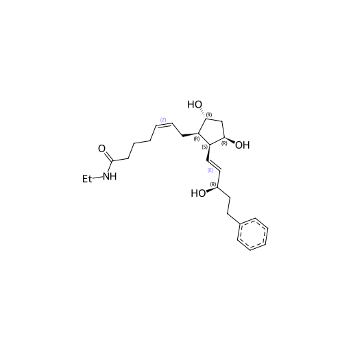 CCNC(=O)CCC/C=C\C[C@@H]1[C@H](/C=C/[C@H](O)CCc2ccccc2)[C@H](O)C[C@H]1O